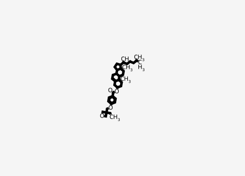 CCC1(COc2ccc(C(=O)OC3CCC4(C)C(=CCC5C4CCC4(C)C(C(C)CCCC(C)C)CCC54)C3)cc2)COC1